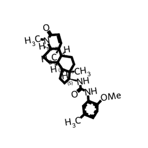 COc1ccc(C)cc1NC(=O)N[C@H]1CC[C@H]2[C@@H]3CC[C@H]4N(C)C(=O)C=C[C@]4(C)[C@H]3CC[C@]12C